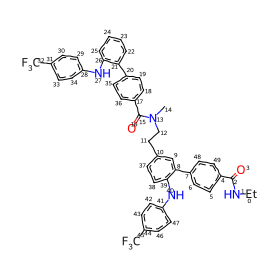 CCNC(=O)c1ccc(-c2cc(CCN(C)C(=O)c3ccc(-c4ccccc4Nc4ccc(C(F)(F)F)cc4)cc3)ccc2Nc2ccc(C(F)(F)F)cc2)cc1